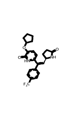 O=C1CC[C@H](C=C(c2ccc(C(F)(F)F)cc2)c2ccc(OC3CCCC3)c(=O)[nH]2)N1